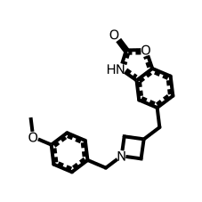 COc1ccc(CN2CC(Cc3ccc4oc(=O)[nH]c4c3)C2)cc1